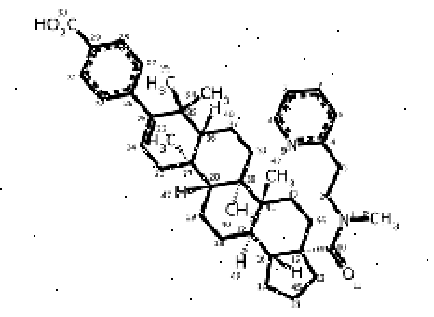 CN(CCc1ccccn1)C(=O)[C@]12CCC[C@@H]1[C@H]1CC[C@@H]3[C@@]4(C)CC=C(c5ccc(C(=O)O)cc5)C(C)(C)[C@@H]4CC[C@@]3(C)[C@]1(C)CC2